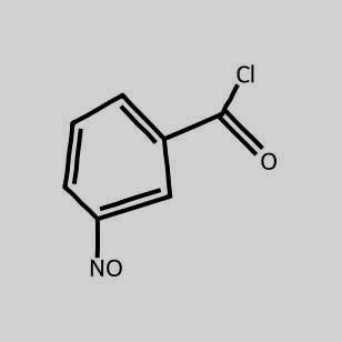 O=Nc1cccc(C(=O)Cl)c1